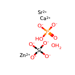 O.O=P([O-])([O-])O.[Ca+2].[O-][Si]([O-])([O-])[O-].[Sr+2].[Zn+2]